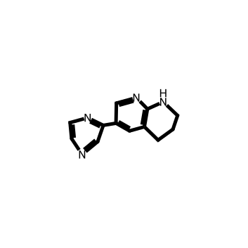 c1cnc(-c2cnc3c(c2)CCCN3)cn1